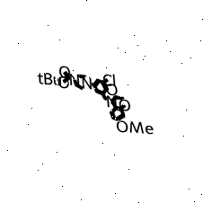 COc1ccc2c(c1)OCC(=O)N2Cc1cc(Cl)cc(N2CCN(C(=O)OC(C)(C)C)CC2)c1